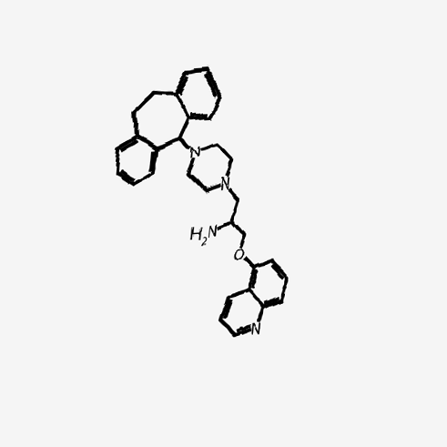 NC(COc1cccc2ncccc12)CN1CCN(C2c3ccccc3CCc3ccccc32)CC1